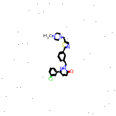 CN1CCN(Cc2cnc(-c3cccc(Cn4nc(-c5cccc(Cl)c5)ccc4=O)c3)s2)CC1